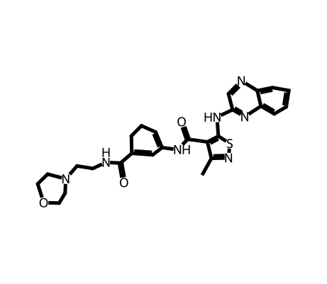 Cc1nsc(Nc2cnc3ccccc3n2)c1C(=O)NC1=CCCC(C(=O)NCCN2CCOCC2)=C1